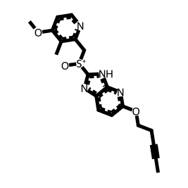 CC#CCCOc1ccc2nc([S+]([O-])Cc3nccc(OC)c3C)[nH]c2n1